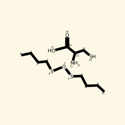 CCCCSOSCCCC.NC(CS)C(=O)O